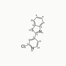 Clc1cc(-c2nc3ccccc3s2)ccn1